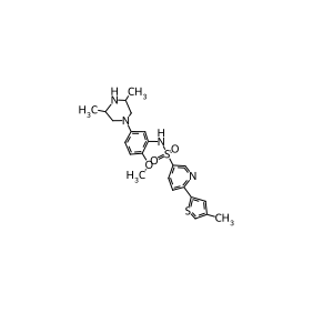 COc1ccc(N2CC(C)NC(C)C2)cc1NS(=O)(=O)c1ccc(-c2cc(C)cs2)nc1